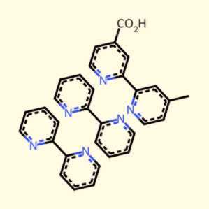 Cc1ccnc(-c2cc(C(=O)O)ccn2)c1.c1ccc(-c2ccccn2)nc1.c1ccc(-c2ccccn2)nc1